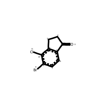 O=C1CCc2c1ccc(Br)c2Cl